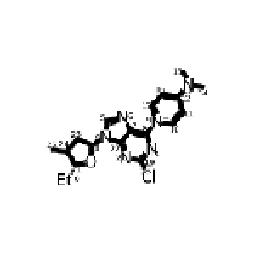 CC[C@H]1OC(n2cnc3c(-[n+]4ccc(N(C)C)cc4)nc(Cl)nc32)CC1C